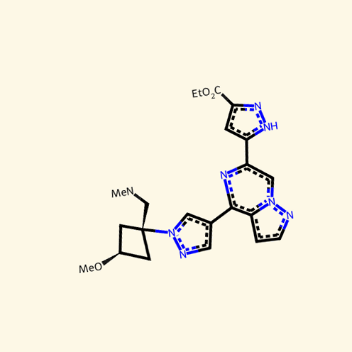 CCOC(=O)c1cc(-c2cn3nccc3c(-c3cnn([C@]4(CNC)C[C@@H](OC)C4)c3)n2)[nH]n1